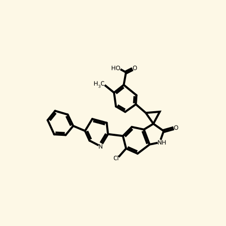 Cc1ccc(C2CC23C(=O)Nc2cc(Cl)c(-c4ccc(-c5ccccc5)cn4)cc23)cc1C(=O)O